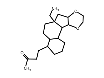 CCC12CCC3C(CCC(C)=O)CCCC3C1C1OCCOC1C2